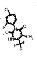 Cc1c(C(F)(F)F)[nH]c(=O)n(-c2ccc(Cl)cc2F)c1=O